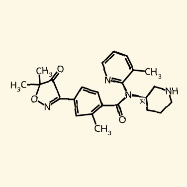 Cc1cc(C2=NOC(C)(C)C2=O)ccc1C(=O)N(c1ncccc1C)[C@@H]1CCCNC1